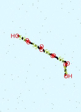 O=C(CCSCSCCCOOCSCCSCO)OCCSCSCCOOCCCSCSCCC(=O)OCSCCSCO